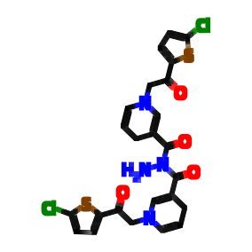 NN(C(=O)C1=CN(CC(=O)c2ccc(Cl)s2)C=CC1)C(=O)C1=CN(CC(=O)c2ccc(Cl)s2)C=CC1